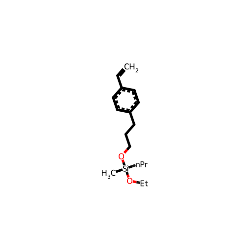 C=Cc1ccc(CCCO[Si](C)(CCC)OCC)cc1